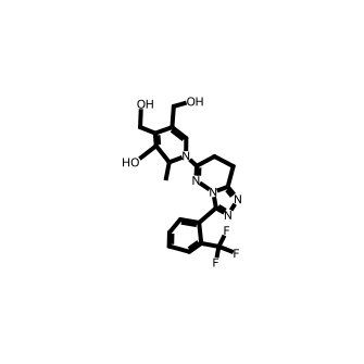 CC1C(O)=C(CO)C(CO)=CN1C1=Nn2c(nnc2-c2ccccc2C(F)(F)F)CC1